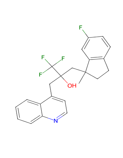 CC1(CC(O)(Cc2ccnc3ccccc23)C(F)(F)F)CCc2ccc(F)cc21